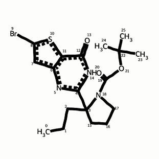 CCCC1(c2nc3cc(Br)sc3c(=O)[nH]2)CCCN1C(=O)OC(C)(C)C